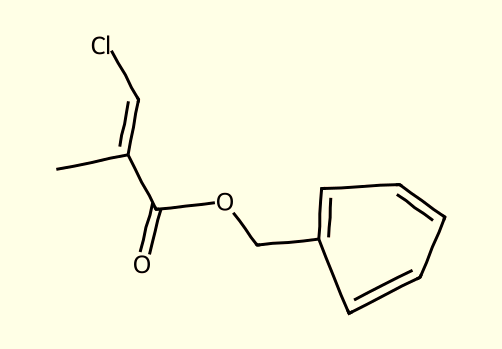 CC(=CCl)C(=O)OCc1ccccc1